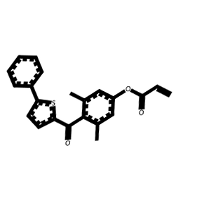 C=CC(=O)Oc1cc(C)c(C(=O)c2ccc(-c3ccccc3)s2)c(C)c1